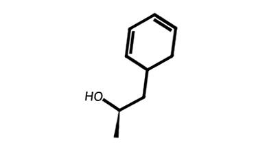 C[C@@H](O)CC1C=CC=CC1